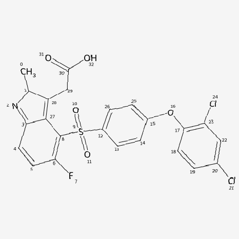 CC1N=c2ccc(F)c(S(=O)(=O)c3ccc(Oc4ccc(Cl)cc4Cl)cc3)c2=C1CC(=O)O